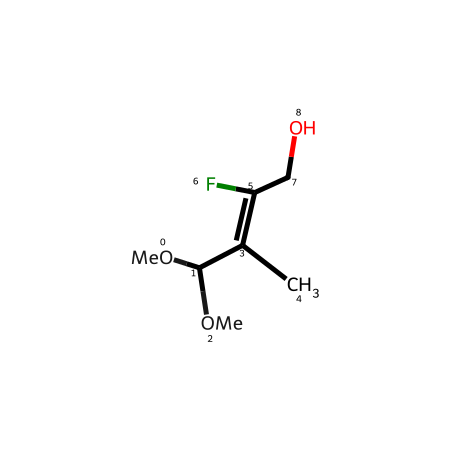 COC(OC)C(C)=C(F)CO